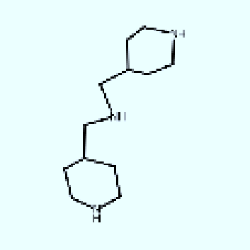 C1CC(CNCC2CCNCC2)CCN1